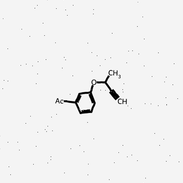 C#CC(C)Oc1cccc(C(C)=O)c1